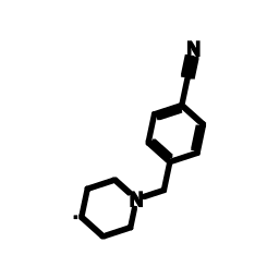 N#Cc1ccc(CN2CC[CH]CC2)cc1